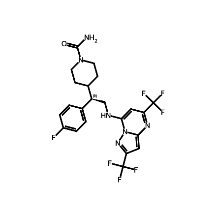 NC(=O)N1CCC([C@@H](CNc2cc(C(F)(F)F)nc3cc(C(F)(F)F)nn23)c2ccc(F)cc2)CC1